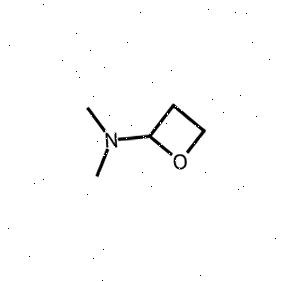 CN(C)C1CCO1